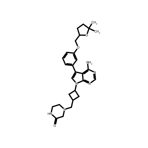 CC1(C)CCC(COc2cccc(-c3cn(C4CC(CN5CCNC(=O)C5)C4)c4ncnc(N)c34)c2)O1